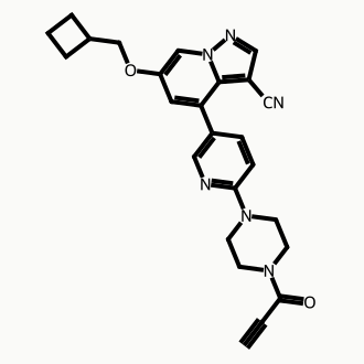 C#CC(=O)N1CCN(c2ccc(-c3cc(OCC4CCC4)cn4ncc(C#N)c34)cn2)CC1